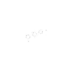 Oc1cc(-c2nnc(-c3cc(O)c(O)c(O)c3)nn2)cc(O)c1O